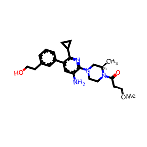 COCCC(=O)N1CCN(c2nc(C3CC3)c(-c3cccc(CCO)c3)cc2N)C[C@H]1C